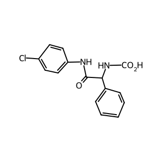 O=C(O)NC(C(=O)Nc1ccc(Cl)cc1)c1ccccc1